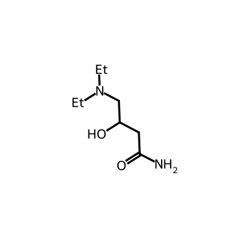 CCN(CC)CC(O)CC(N)=O